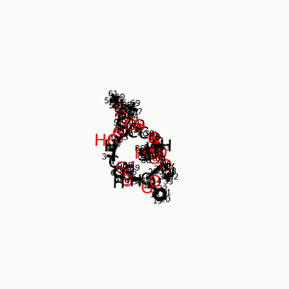 C=C1C(C)CC2CC[C@@H]3O[C@@H](CCC(OC(=O)c4ccccc4)/C=C/C(O[Si](C)(C)C(C)(C)C)C4O[C@H]5CCC(CC(=O)CC6C(C[C@H]1O)OC(CC(CO[Si](C)(C)C(C)(C)C)O[Si](C)(C)C(C)(C)C)[C@@H]6OC)OC5[C@H](O)C4O[Si](C)(C)C(C)(C)C)CC3(CI)O2